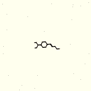 CCCC=CC1CCC(C(CO)CO)CC1